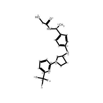 C[C@H](NC(=O)CO)c1ccc(OC2CCN(c3cccc(C(F)(F)F)n3)C2)cc1